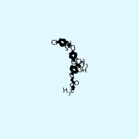 CCOC(=O)CCOc1ccc(C(C)(Oc2ccc(Oc3nc4ccc(Cl)cc4s3)cc2)C(=O)O)cc1